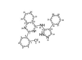 FC(F)(F)c1ccccc1-c1nc(Nc2[nH]ncc2-c2ccccc2)c2ccccc2n1